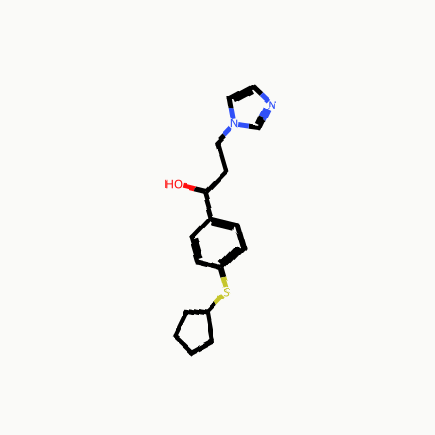 OC(CCn1ccnc1)c1ccc(SC2CCCC2)cc1